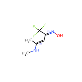 CN/C(C)=C/C(=N\O)C(F)(F)F